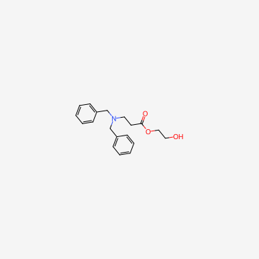 O=C(CCN(Cc1ccccc1)Cc1ccccc1)OCCO